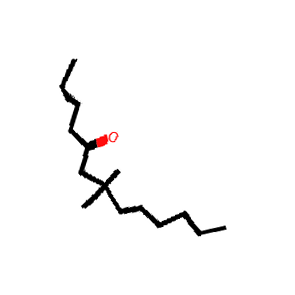 CCCCCCC(C)(C)CC(=O)CCCC